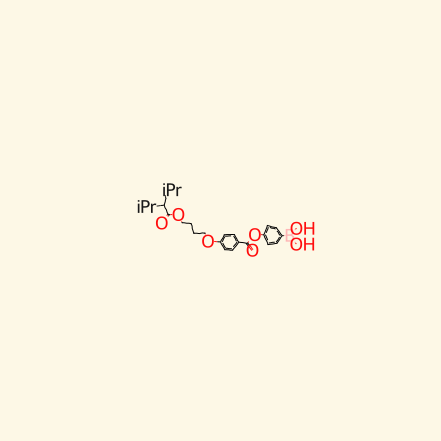 CC(C)CC(C(=O)OCCCCOc1ccc(C(=O)Oc2ccc(B(O)O)cc2)cc1)C(C)C